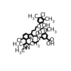 COc1cc(C(=O)O)cc(N2CCCn3c(c(CCCOc4cc(C)c(Cl)c(C)c4)c4ccc(Cl)c(-c5c(C)nn(C)c5C)c43)C2=O)c1OCCO